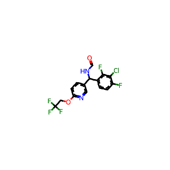 O=CNC(c1ccc(OCC(F)(F)F)nc1)c1ccc(F)c(Cl)c1F